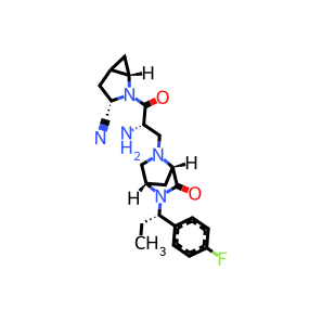 CC[C@@H](c1ccc(F)cc1)N1C(=O)[C@@H]2C[C@H]1CN2C[C@H](N)C(=O)N1[C@H](C#N)CC2C[C@@H]21